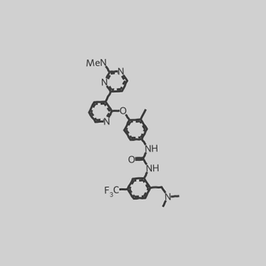 CNc1nccc(-c2cccnc2Oc2ccc(NC(=O)Nc3cc(C(F)(F)F)ccc3CN(C)C)cc2C)n1